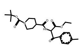 CCOC(=O)C(NC(=O)C1CCN(C(=O)OC(C)(C)C)CC1)C(=O)c1ccc(C)cc1